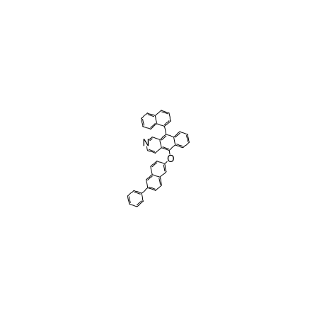 c1ccc(-c2ccc3cc(Oc4c5ccccc5c(-c5cccc6ccccc56)c5cnccc45)ccc3c2)cc1